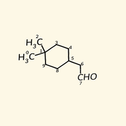 CC1(C)CCC(CC=O)CC1